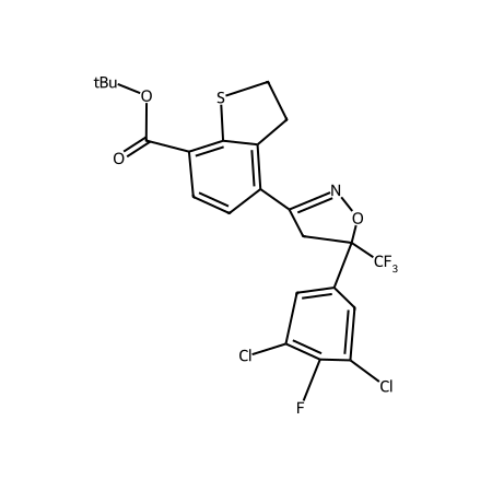 CC(C)(C)OC(=O)c1ccc(C2=NOC(c3cc(Cl)c(F)c(Cl)c3)(C(F)(F)F)C2)c2c1SCC2